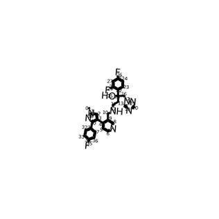 Cn1cc(-c2ccncc2CNCCC(O)(Cn2cncn2)c2ccc(F)cc2F)c(-c2ccc(F)cc2)n1